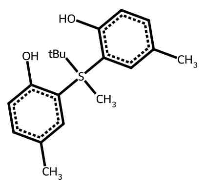 Cc1ccc(O)c(S(C)(c2cc(C)ccc2O)C(C)(C)C)c1